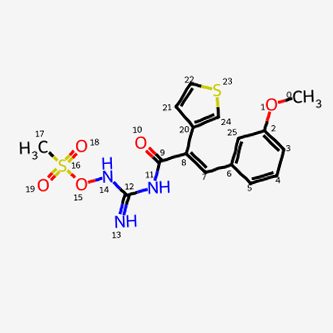 COc1cccc(/C=C(/C(=O)NC(=N)NOS(C)(=O)=O)c2ccsc2)c1